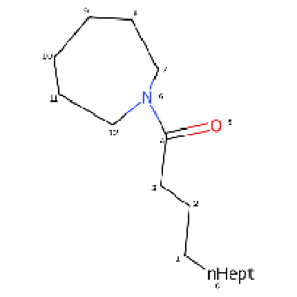 CCCCCCCCCCC(=O)N1CCCCCC1